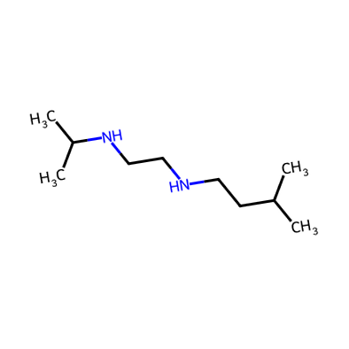 CC(C)CCNCCNC(C)C